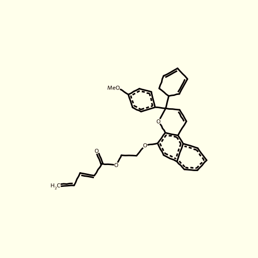 C=C/C=C/C(=O)OCCOc1cc2ccccc2c2c1OC(c1ccc(OC)cc1)(C1C=CC=CC1)C=C2